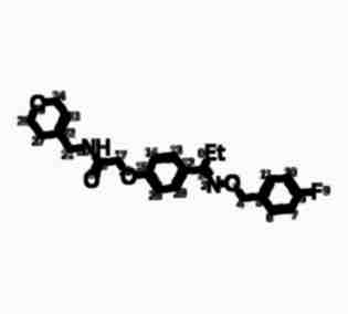 CC/C(=N\OCc1ccc(F)cc1)c1ccc(OCC(=O)NCC2=CCOCC2)cc1